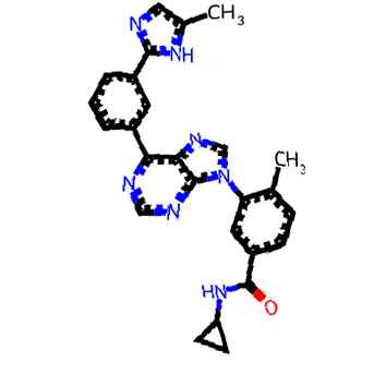 Cc1cnc(-c2cccc(-c3ncnc4c3ncn4-c3cc(C(=O)NC4CC4)ccc3C)c2)[nH]1